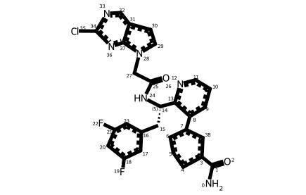 NC(=O)c1cccc(-c2cccnc2[C@H](Cc2cc(F)cc(F)c2)NC(=O)Cn2ccc3cnc(Cl)nc32)c1